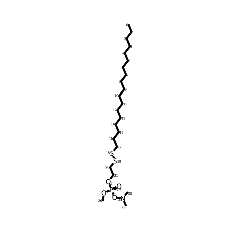 CCCCCCCCCCCCCCCCCCSSCCOP(=O)(OC)ON(C)C